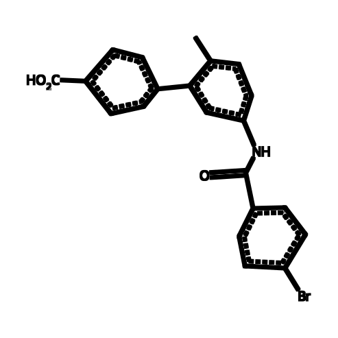 Cc1ccc(NC(=O)c2ccc(Br)cc2)cc1-c1ccc(C(=O)O)cc1